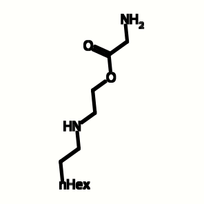 CCCCCCCCNCCOC(=O)CN